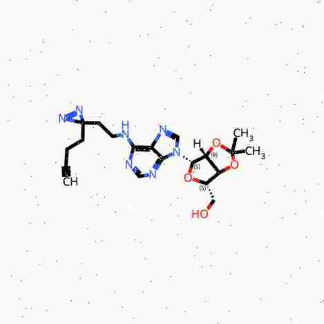 C#CCCC1(CCNc2ncnc3c2ncn3[C@H]2O[C@@H](CO)C3OC(C)(C)O[C@H]32)N=N1